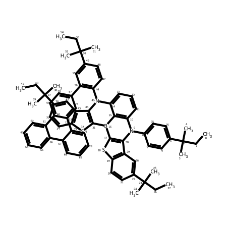 CCC(C)(C)c1ccc(N2c3cccc4c3B(c3sc5ccc(C(C)(C)CC)cc5c32)c2sc3ccc(C(C)(C)CC)cc3c2N4c2ccc(C(C)(C)CC)cc2-c2ccc3c4ccccc4c4ccccc4c3c2)cc1